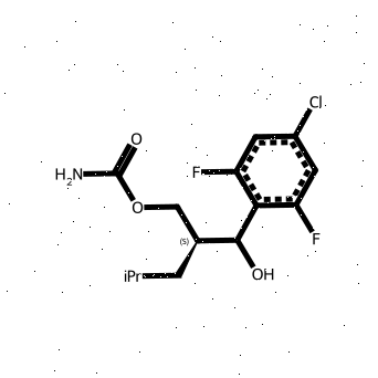 CC(C)C[C@@H](COC(N)=O)C(O)c1c(F)cc(Cl)cc1F